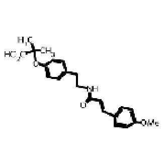 COc1ccc(/C=C/C(=O)NCCc2ccc(OC(C)(C)C(=O)O)cc2)cc1